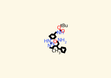 Cc1cnc(Nc2ccc(CNC(=O)OC(C)(C)C)cc2)nc1C(CC(N)=O)Cc1ccccc1